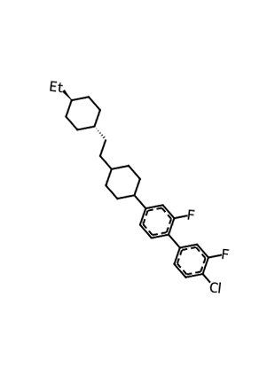 CC[C@H]1CC[C@H](CCC2CCC(c3ccc(-c4ccc(Cl)c(F)c4)c(F)c3)CC2)CC1